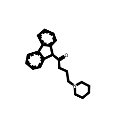 O=C(CCCN1CCCCC1)C1c2ccccc2-c2ccccc21